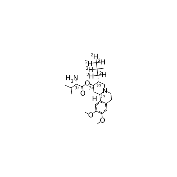 [2H]C([2H])([2H])C([2H])(C)C([2H])([2H])[C@@H]1CN2CCc3cc(OC)c(OC)cc3[C@H]2C[C@H]1OC(=O)[C@@H](N)C(C)C